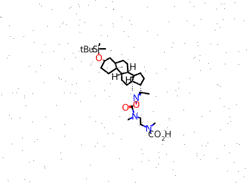 CC(=NOC(=O)N(C)CCN(C)C(=O)O)[C@H]1CC[C@H]2[C@@H]3CCC4C[C@@H](O[Si](C)(C)C(C)(C)C)CC[C@]4(C)[C@H]3CC[C@]12C